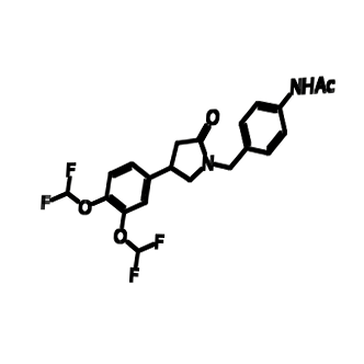 CC(=O)Nc1ccc(CN2CC(c3ccc(OC(F)F)c(OC(F)F)c3)CC2=O)cc1